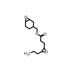 CCCC1OC1CCC(=O)OCC1CCC2OC2C1